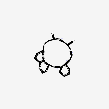 O=C1/C=N\C(=O)COc2ccc3ncnc(c3c2)/N=c2/cccc/c2=C/C=N\1